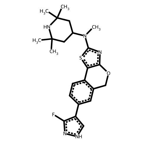 CN(c1nc2c(s1)-c1ccc(-c3c[nH]nc3F)cc1CO2)C1CC(C)(C)NC(C)(C)C1